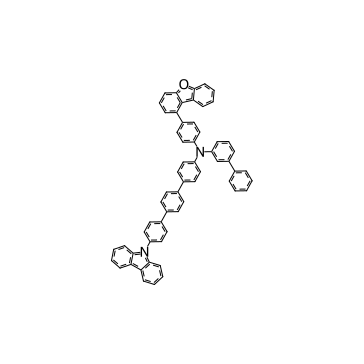 c1ccc(-c2cccc(N(c3ccc(-c4ccc(-c5ccc(-n6c7ccccc7c7ccccc76)cc5)cc4)cc3)c3ccc(-c4cccc5oc6ccccc6c45)cc3)c2)cc1